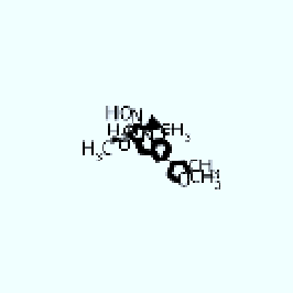 CCOC(=O)c1cc2cc([C@H]3CCOC(C)(C)C3)cc(F)c2n1[C@@]1(C(N)=NO)C[C@@H]1C